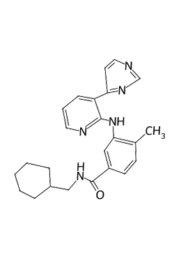 Cc1ccc(C(=O)NCC2CCCCC2)cc1Nc1ncccc1-c1ccncn1